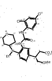 CCN(c1ccc([C@H](COC)CC(=O)O)cc1NC(=O)Nc1ccc(Cl)cc1Cl)C1CCOCC1